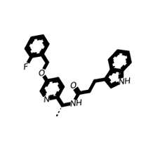 C[C@@H](NC(=O)CCc1c[nH]c2ccccc12)c1ccc(OCc2ccccc2F)cn1